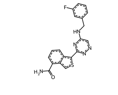 NC(=O)c1cccc2c(-c3nncc(NCc4cccc(F)c4)n3)scc12